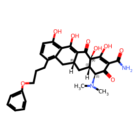 CN(C)[C@@H]1C(=O)C(C(N)=O)=C(O)[C@@]2(O)C(=O)C3=C(O)c4c(O)ccc(CCCOc5ccccc5)c4C[C@H]3C[C@@H]12